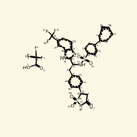 O=C(O)C(F)(F)F.O=C1C[C@H](c2ccc(C[C@H](NS(=O)(=O)c3ccc(-c4ccccc4)cc3)c3nc4ccc(C(F)(F)F)cc4[nH]3)cc2)S(=O)(=O)N1